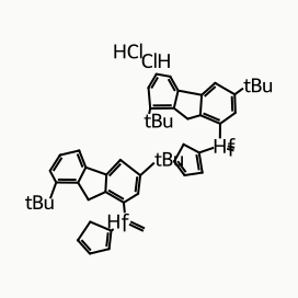 Cl.Cl.[CH2]=[Hf]([C]1=CC=CC1)[c]1cc(C(C)(C)C)cc2c1Cc1c-2cccc1C(C)(C)C.[CH2]=[Hf]([C]1=CC=CC1)[c]1cc(C(C)(C)C)cc2c1Cc1c-2cccc1C(C)(C)C